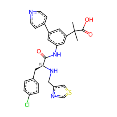 CC(C)(C(=O)O)c1cc(NC(=O)[C@H](Cc2ccc(Cl)cc2)NCc2cscn2)cc(-c2ccncc2)c1